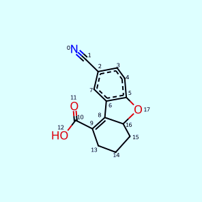 N#Cc1ccc2c(c1)C1=C(C(=O)O)CCCC1O2